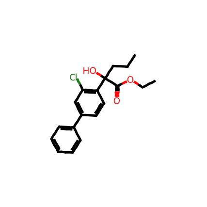 CCCC(O)(C(=O)OCC)c1ccc(-c2ccccc2)cc1Cl